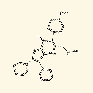 COc1ccc(-c2c(CNN)[nH]c3c(-c4ccccc4)c(-c4ccccc4)nn3c2=O)cc1